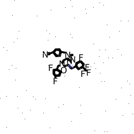 N#Cc1ccc(Cn2cnnc2CN(Cc2ccc(F)cc2F)C(=O)/C=C/c2cc(F)cc(C(F)(F)F)c2)cc1